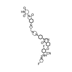 N#Cc1c(NSN2CCC(F)C2)ccc(F)c1Oc1ccc2ncn(-c3ccc(N4CCN(CC5CN(c6ccc7c(c6)CN(C6CCC(=O)NC6=O)C7=O)C5)CC4)cc3)c(=O)c2c1